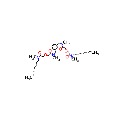 CCCCCCCCN(C)C(=O)COCC(=O)N(C)Cc1cccc(CN(C)C(=O)COCC(=O)N(C)CCCCCCCC)c1